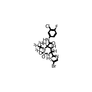 [2H]C1C([2H])(c2ncc(Br)s2)NS(=O)(=O)N(C([2H])([2H])[2H])C1([2H])C(=O)Nc1ccc(F)c(Cl)c1